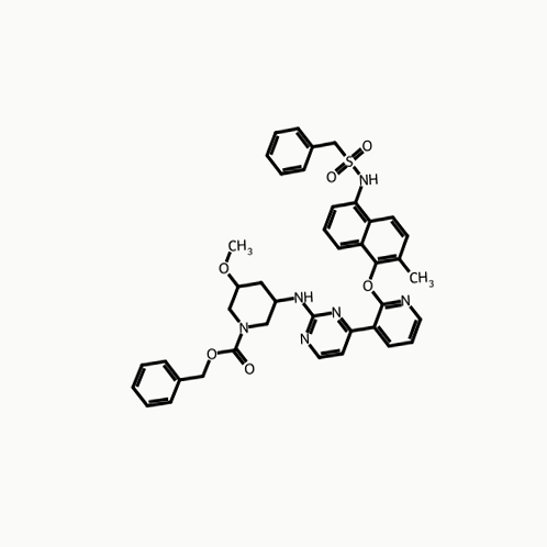 COC1CC(Nc2nccc(-c3cccnc3Oc3c(C)ccc4c(NS(=O)(=O)Cc5ccccc5)cccc34)n2)CN(C(=O)OCc2ccccc2)C1